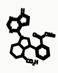 COC(=O)c1ccccc1C1CN(c2ncnc3[nH]ccc23)C2CCCN(C(=O)O)C12